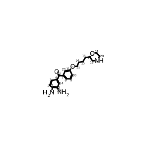 Nc1ccc(C(=O)c2cccc(OCCCCC3CNCCO3)c2)cc1N